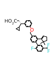 CC1(C)CCC=C1c1cc(COc2cccc([C@@H](CC(=O)O)C3CC3)c2)ccc1-c1cc(C(F)F)ccc1F